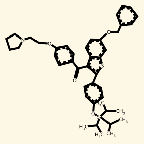 CC(C)[Si](Oc1ccc(-c2sc3cc(OCc4ccccc4)ccc3c2C(=O)c2ccc(OCCN3CCCC3)cc2)cc1)(C(C)C)C(C)C